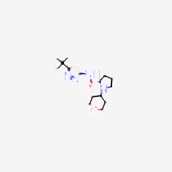 CC(C)(C)c1nnc(NC(=O)[C@@H]2CCCN2C2CCOCC2)s1